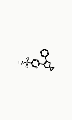 CS(=O)(=O)c1ccc(C2=C(c3ccccc3)CC3(CC3)C2)nc1